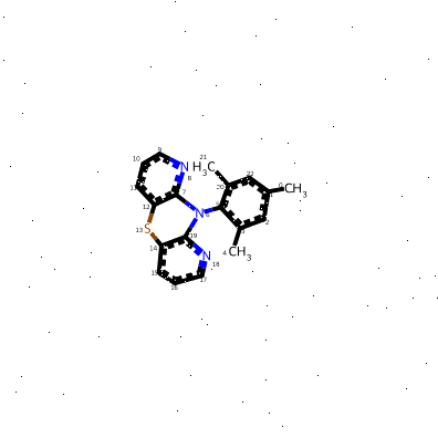 Cc1cc(C)c(N2c3ncccc3Sc3cccnc32)c(C)c1